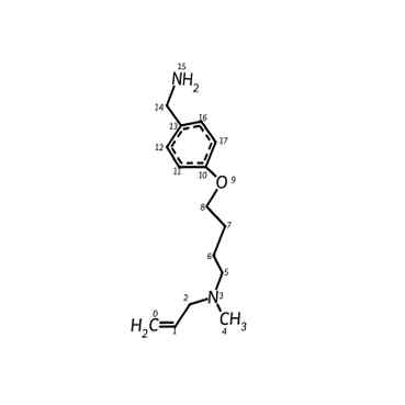 C=CCN(C)CCCCOc1ccc(CN)cc1